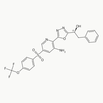 Nc1cc(S(=O)(=O)c2ccc(OC(F)(F)F)cc2)cnc1-c1nnc([C@@H](O)Cc2ccccc2)o1